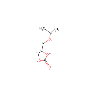 CC(C)OCC1COC(=O)O1